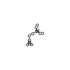 c1cc(-c2ccc(-c3cc(-c4ccc5ccccc5c4)nc(-c4ccc5ccccc5c4)c3)cc2)cc(-c2ccc(-n3c4ccccc4c4ccccc43)cc2)c1